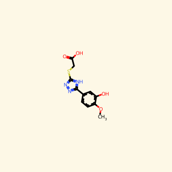 COc1ccc(-c2nnc(SCC(=O)O)[nH]2)cc1O